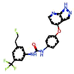 O=C(Nc1ccc(Oc2ccnc3[nH]ncc23)cc1)Nc1cc(CCF)cc(C(F)(F)F)c1